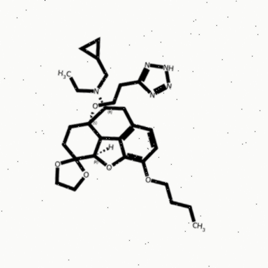 CCCCOc1ccc2c3c1O[C@@H]1C3[C@@](OCCc3nn[nH]n3)(CCC13OCCO3)[C@H](N(CC)CC1CC1)C2